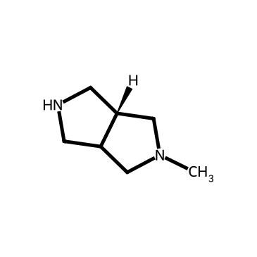 CN1CC2CNC[C@@H]2C1